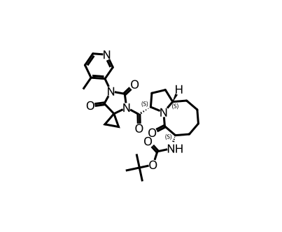 Cc1ccncc1N1C(=O)N(C(=O)[C@@H]2CC[C@@H]3CCCC[C@H](NC(=O)OC(C)(C)C)C(=O)N32)C2(CC2)C1=O